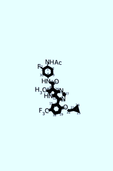 CC(=O)N[C@@H]1CC[C@H](NC(=O)c2c(C)[nH]c3c(-c4cc(C(F)(F)F)ccc4OCC4CC4)ncnc23)C[C@H]1F